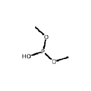 COP(O)OC